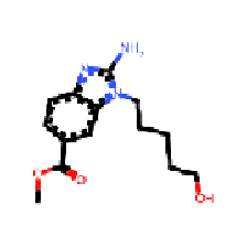 COC(=O)c1ccc2nc(N)n(CCCCCO)c2c1